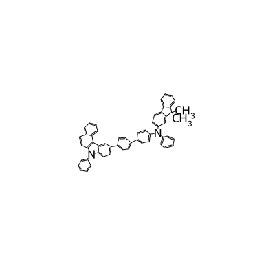 CC1(C)c2ccccc2-c2ccc(N(c3ccccc3)c3ccc(-c4ccc(-c5ccc6c(c5)c5c7ccccc7ccc5n6-c5ccccc5)cc4)cc3)cc21